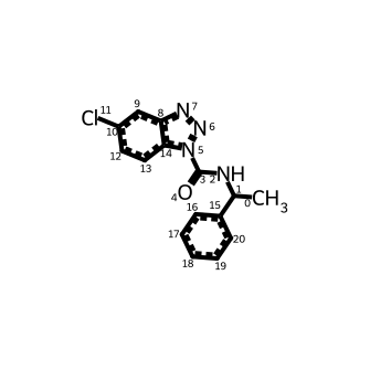 CC(NC(=O)n1nnc2cc(Cl)ccc21)c1ccccc1